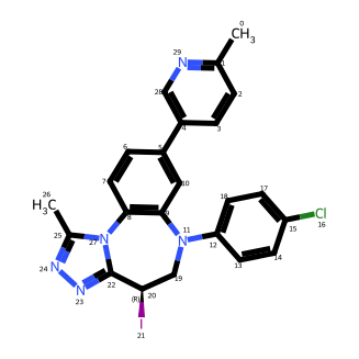 Cc1ccc(-c2ccc3c(c2)N(c2ccc(Cl)cc2)C[C@@H](I)c2nnc(C)n2-3)cn1